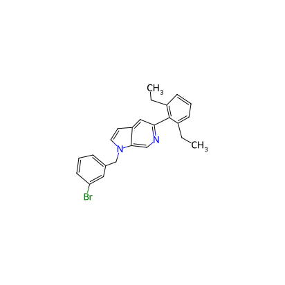 CCc1cccc(CC)c1-c1cc2ccn(Cc3cccc(Br)c3)c2cn1